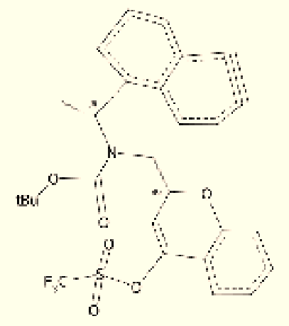 C[C@H](c1cccc2c#cccc12)N(C[C@H]1C=C(OS(=O)(=O)C(F)(F)F)c2ccccc2O1)C(=O)OC(C)(C)C